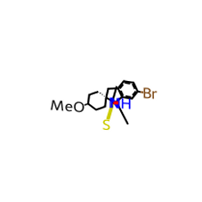 CO[C@H]1CC[C@]2(CC1)Cc1ccc(Br)cc1C21N=C(C)C(=S)N1